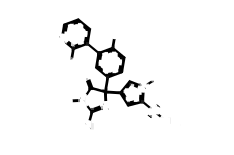 CCn1cc(C2(c3ccc(F)c(-c4cccnc4F)c3)N=C(N)N(C)C2=O)cc1S(C)(=O)=O